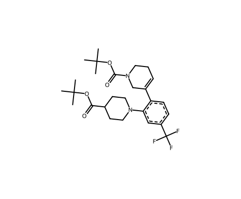 CC(C)(C)OC(=O)C1CCN(c2cc(C(F)(F)F)ccc2C2=CCCN(C(=O)OC(C)(C)C)C2)CC1